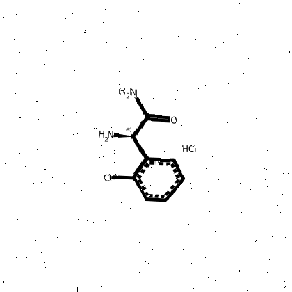 Cl.NC(=O)[C@H](N)c1ccccc1Cl